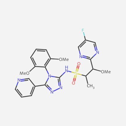 COc1cccc(OC)c1-n1c(NS(=O)(=O)C(C)C(OC)c2ncc(F)cn2)nnc1-c1cccnc1